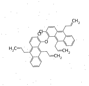 C=CCc1c2ccccc2c(CC=C)c2c(Oc3c(Cl)ccc4c(CC=C)c5ccccc5c(CC=C)c34)c(Cl)ccc12